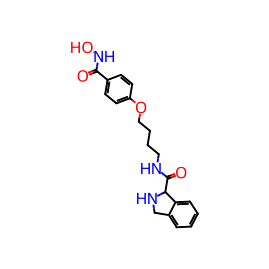 O=C(NO)c1ccc(OCCCCNC(=O)C2NCc3ccccc32)cc1